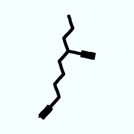 [C]#CCCCCC(C#C)CCC